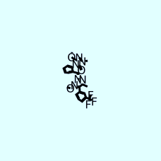 CON=C(C(C)=NN=Cc1ccccc1-n1c(OC)nn(C)c1=O)c1cccc(C(F)(F)F)c1